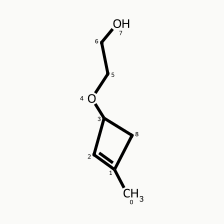 CC1=CC(OCCO)C1